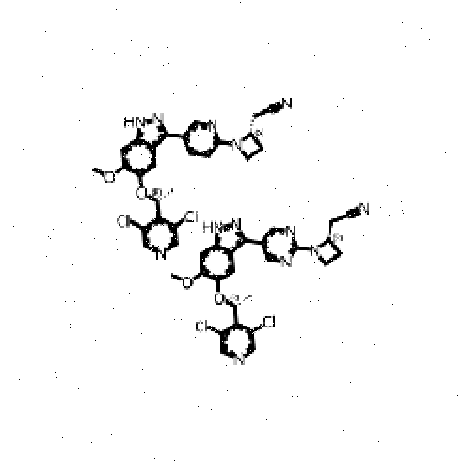 COc1cc2[nH]nc(-c3ccc(N4CC[C@H]4CC#N)nc3)c2cc1O[C@H](C)c1c(Cl)cncc1Cl.COc1cc2[nH]nc(-c3cnc(N4CC[C@@H]4CC#N)nc3)c2cc1O[C@H](C)c1c(Cl)cncc1Cl